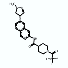 CN1CC(c2ccc3cnc(NC(=O)C4CCN(C(=O)C(F)(F)F)CC4)cc3c2)C=N1